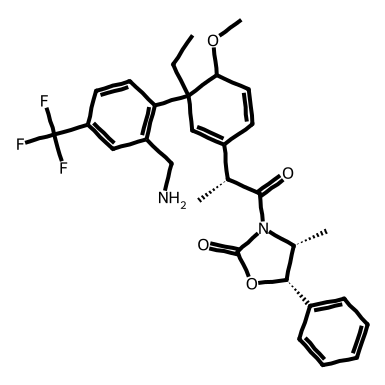 CCC1(c2ccc(C(F)(F)F)cc2CN)C=C([C@@H](C)C(=O)N2C(=O)O[C@@H](c3ccccc3)[C@H]2C)C=CC1OC